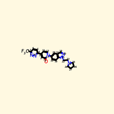 O=c1cc(-c2ccc(C(F)(F)F)nn2)ccn1-c1ccc2c(cnn2CCN2CCCC2)c1